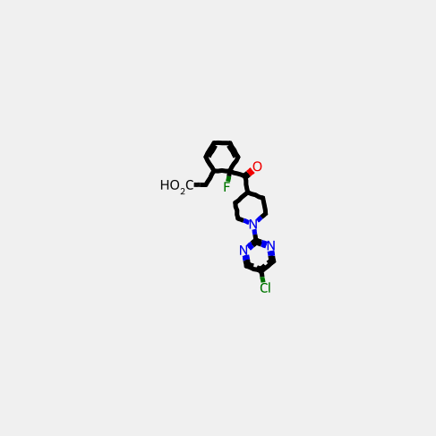 O=C(O)CC1C=CC=CC1(F)C(=O)C1CCN(c2ncc(Cl)cn2)CC1